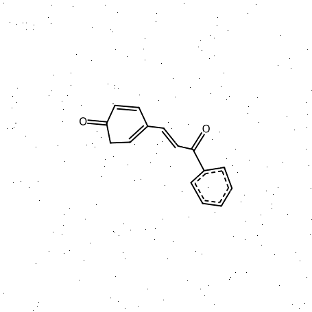 O=C1C=CC(/C=C/C(=O)c2ccccc2)=CC1